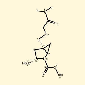 CN(C)C(=O)COC[C@]12CC1N(C(=O)OC(C)(C)C)[C@H](C(=O)O)C2